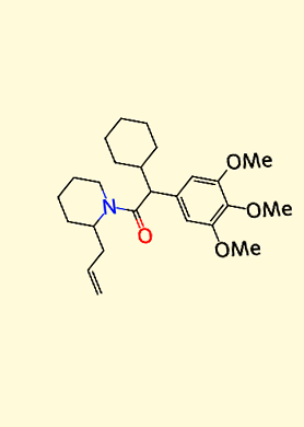 C=CCC1CCCCN1C(=O)C(c1cc(OC)c(OC)c(OC)c1)C1CCCCC1